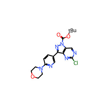 CC(C)(C)OC(=O)n1nc(-c2ccc(N3CCOCC3)nc2)c2nc(Cl)ncc21